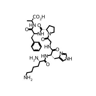 C[C@H](NC(=O)[C@H](Cc1ccccc1)NC(=O)[C@@H]1CCCN1C(=O)CNC(=O)[C@H](Cc1c[nH]cn1)NC(=O)[C@@H](N)CCCCN)C(=O)O